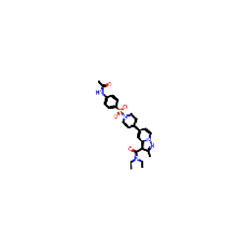 CCN(CC)C(=O)c1c(C)nn2ccc(C3CCN(S(=O)(=O)c4ccc(NC(C)=O)cc4)CC3)cc12